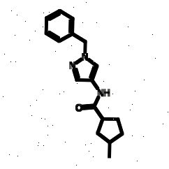 CC1CCC(C(=O)Nc2cnn(Cc3ccccc3)c2)C1